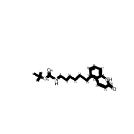 CC(C)(C)OC(=O)NCCCCCCc1cccc2[nH]c(=O)ccc12